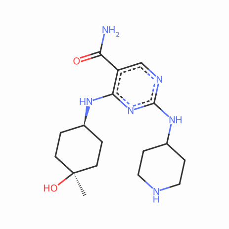 C[C@]1(O)CC[C@@H](Nc2nc(NC3CCNCC3)ncc2C(N)=O)CC1